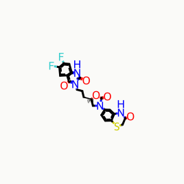 O=C1CSc2ccc(N3C[C@@H](CCCn4c(=O)[nH]c5cc(F)c(F)cc5c4=O)OC3=O)cc2N1